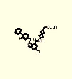 O=C(O)CC1CC2(C1)CC(NC(=O)c1cc(Cl)cc3cnn(Cc4ccc(-c5ccccc5)c(F)c4)c13)C2